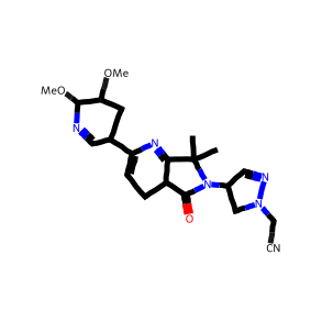 COC1CC(C2=CCC3C(=O)N(C4C=NN(CC#N)C4)C(C)(C)C3=N2)C=NC1OC